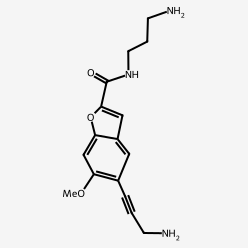 COc1cc2oc(C(=O)NCCCN)cc2cc1C#CCN